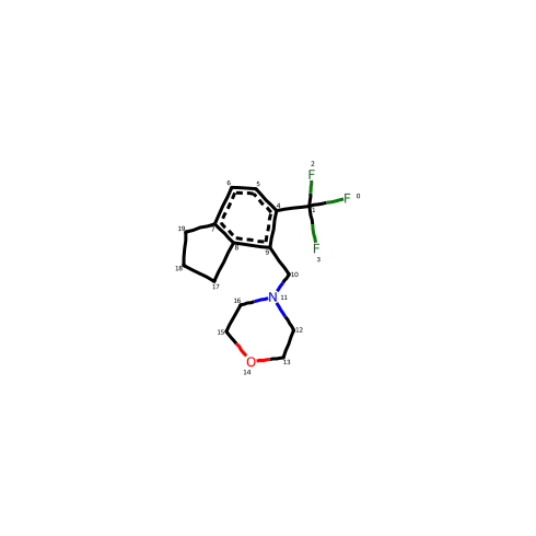 FC(F)(F)c1ccc2c(c1CN1CCOCC1)CCC2